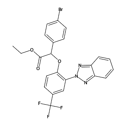 CCOC(=O)C(Oc1ccc(C(F)(F)F)cc1-n1nc2ccccc2n1)c1ccc(Br)cc1